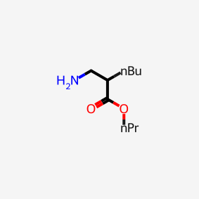 CCCCC(CN)C(=O)OCCC